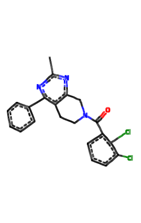 Cc1nc2c(c(-c3ccccc3)n1)CCN(C(=O)c1cccc(Cl)c1Cl)C2